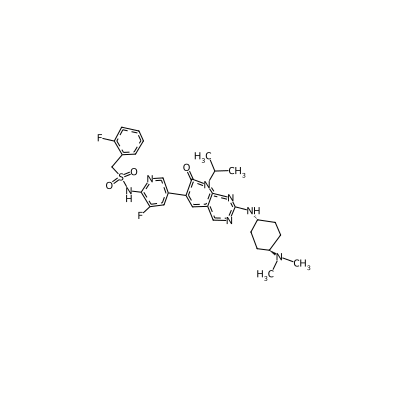 CC(C)n1c(=O)c(-c2cnc(NS(=O)(=O)Cc3ccccc3F)c(F)c2)cc2cnc(N[C@H]3CC[C@H](N(C)C)CC3)nc21